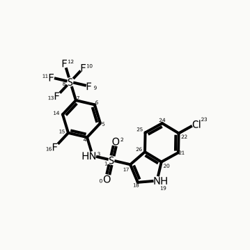 O=S(=O)(Nc1ccc(S(F)(F)(F)(F)F)cc1F)c1c[nH]c2cc(Cl)ccc12